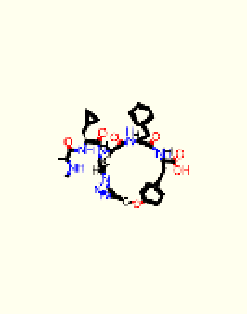 CN[C@@H](C)C(=O)N[C@@H](CC1CC1)C(=O)N1C[C@@H]2C[C@H]1C(=O)N[C@@H](Cc1ccccc1)C(=O)N[C@H](C(=O)O)Cc1ccc(cc1)OCc1cn2nn1